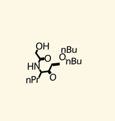 C=CC(=O)C(CCC)NC(=O)CO.CCCCOCCCC